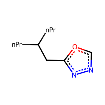 CCCC(CCC)Cc1nnco1